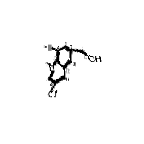 OCc1cc(I)c2ncc(Cl)cc2c1